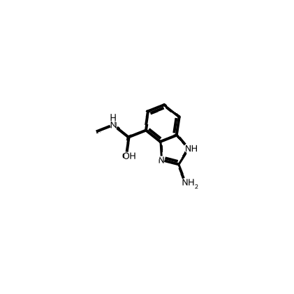 CNC(O)c1cccc2[nH]c(N)nc12